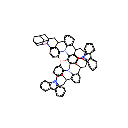 c1cc(C2CCCCC2)c(N2c3cc(N4C5CC6CC(C5)CC4C6)ccc3B3c4ccc(-n5c6ccccc6c6ccccc65)cc4N(c4c(C5CCCCC5)cccc4C4CCCCC4)c4cc(-n5c6ccccc6c6ccccc65)cc2c43)c(C2CCCCC2)c1